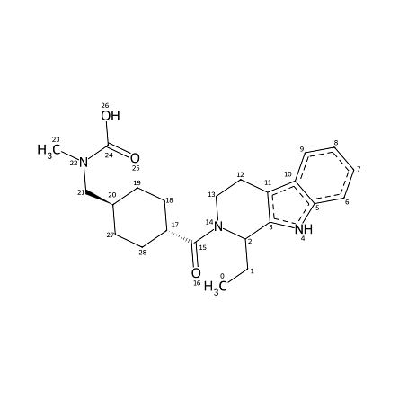 CCC1c2[nH]c3ccccc3c2CCN1C(=O)[C@H]1CC[C@H](CN(C)C(=O)O)CC1